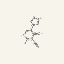 C#Cc1c(C)occ(-c2ccsc2)c1=O